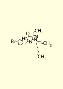 CCCCCCC(CCC)n1nc(CC)c2c(=O)[nH]c(Cc3ccc(Br)cc3)nc21